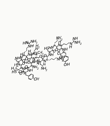 C[C@@H](O)[C@H](N)C(=O)N[C@@H](Cc1ccc(O)cc1)C(=O)N[C@H](C(=O)N[C@@H](CN)C(=O)N[C@@H](CCCNC(=N)N)C(=O)N[C@@H](CCN)C(=O)N[C@H](C(=O)N[C@H](CCN)C(=O)N[C@@H](CCCCN)C(=O)N[C@@H](CS)C(=O)N[C@@H](CCN)C(=O)N[C@@H](CCCNC(=N)N)C(=O)N[C@@H](Cc1ccc(O)cc1)C(=O)O)[C@@H](C)O)C(C)(C)S